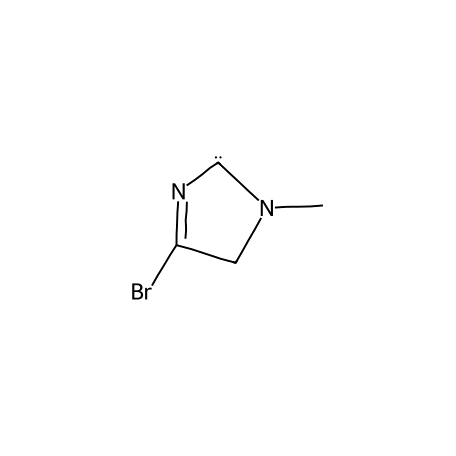 CN1[C]N=C(Br)C1